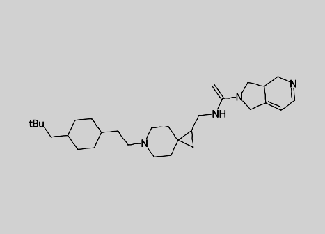 C=C(NCC1CC12CCN(CCC1CCC(CC(C)(C)C)CC1)CC2)N1CC2=CC=NCC2C1